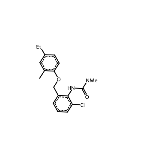 CCc1ccc(OCc2cccc(Cl)c2NC(=O)NC)c(C)c1